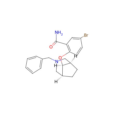 NC(=O)c1cc(Br)ccc1O[C@H]1[C@@H]2CC[C@H]1CN(Cc1ccccc1)C2